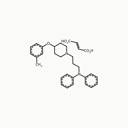 Cc1cccc(OC2CCN(CCCN(c3ccccc3)c3ccccc3)CC2)c1.O=C(O)C=CC(=O)O